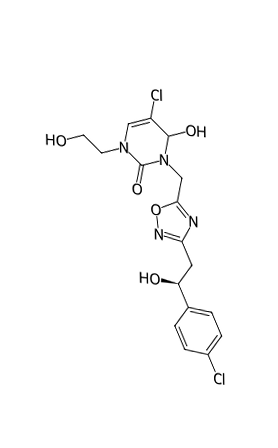 O=C1N(CCO)C=C(Cl)C(O)N1Cc1nc(C[C@H](O)c2ccc(Cl)cc2)no1